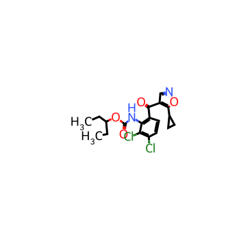 CCC(CC)OC(=O)Nc1c(C(=O)c2cnoc2C2CC2)ccc(Cl)c1Cl